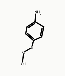 Nc1ccc(SOO)cc1